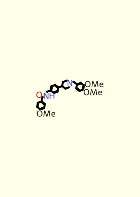 COc1ccc(C(=O)NCc2ccc(C3CCN(Cc4ccc(OC)c(OC)c4)CC3)cc2)cc1